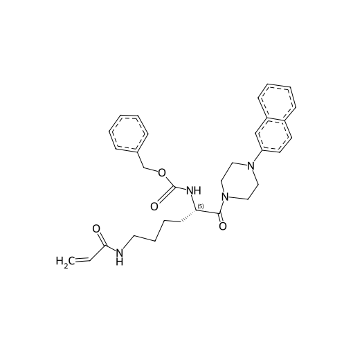 C=CC(=O)NCCCC[C@H](NC(=O)OCc1ccccc1)C(=O)N1CCN(c2ccc3ccccc3c2)CC1